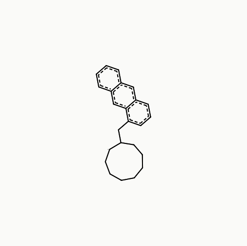 [CH]1CCCCCCCC1Cc1cccc2cc3ccccc3cc12